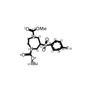 COC(=O)N1CCN(C(=O)OC(C)(C)C)CC(S(=O)(=O)c2ccc(F)cc2)C1